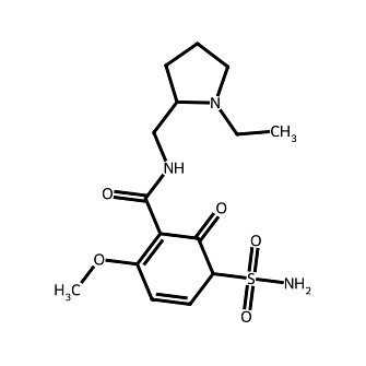 CCN1CCCC1CNC(=O)C1=C(OC)C=CC(S(N)(=O)=O)C1=O